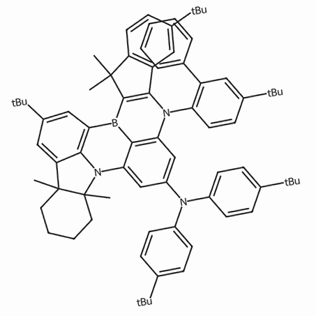 CC(C)(C)c1ccc(N(c2ccc(C(C)(C)C)cc2)c2cc3c4c(c2)N2c5c(cc(C(C)(C)C)cc5C5(C)CCCCC25C)B4C2=C(c4cc(C(C)(C)C)ccc4C2(C)C)N3c2ccc(C(C)(C)C)cc2-c2ccccc2)cc1